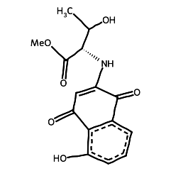 COC(=O)[C@@H](NC1=CC(=O)c2c(O)cccc2C1=O)C(C)O